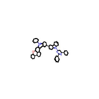 c1ccc(-c2cc(-n3c4ccccc4c4cc(-c5ccc6c(c5)c5c7cccc8c7c(cc5n6-c5ccccc5)Oc5ccccc5-8)ccc43)nc(-c3ccccc3)n2)cc1